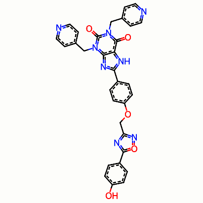 O=c1c2[nH]c(-c3ccc(OCc4noc(-c5ccc(O)cc5)n4)cc3)nc2n(Cc2ccncc2)c(=O)n1Cc1ccncc1